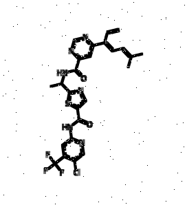 C=C/C(=C\C=C(C)C)c1cc(C(=O)NC(C)c2ncc(C(=O)Nc3cc(C(F)(F)F)c(Cl)cn3)s2)ncn1